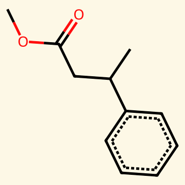 COC(=O)CC(C)c1ccccc1